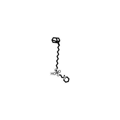 C[N+]1(CCOP(=O)(O)OCCCCCCCCCCC=C2C3CC4CC(C3)CC2C4)CCCCC1